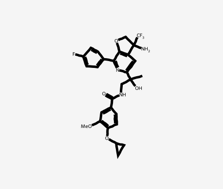 COc1cc(C(=O)NCC(C)(O)c2cc3c(c(-c4ccc(F)cc4)n2)OCC3(N)C(F)(F)F)ccc1OC1CC1